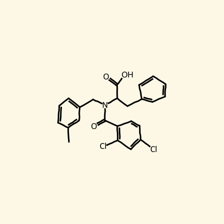 Cc1cccc(CN(C(=O)c2ccc(Cl)cc2Cl)C(Cc2ccccc2)C(=O)O)c1